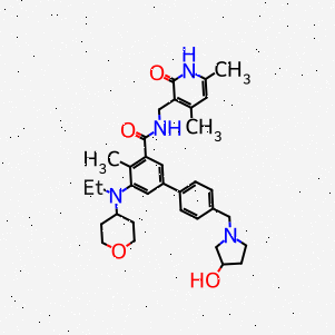 CCN(c1cc(-c2ccc(CN3CCC(O)C3)cc2)cc(C(=O)NCc2c(C)cc(C)[nH]c2=O)c1C)C1CCOCC1